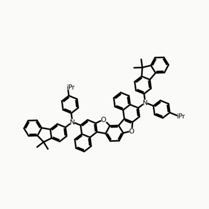 CC(C)c1ccc(N(c2ccc3c(c2)-c2ccccc2C3(C)C)c2cc3oc4c(ccc5oc6cc(N(c7ccc(C(C)C)cc7)c7ccc8c(c7)-c7ccccc7C8(C)C)c7ccccc7c6c54)c3c3ccccc23)cc1